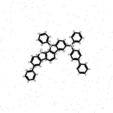 c1ccc(-c2ccc(N(c3ccccc3)c3ccc4c(c3)c3ccc5c6cc(-c7ccccc7)ccc6sc5c3n4-c3ccccc3)cc2)cc1